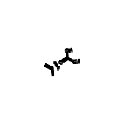 C=CC.CF.O=C(O)O